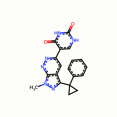 Cn1nc(C2(c3ccccc3)CC2)c2cc(-c3c[nH]c(=O)[nH]c3=O)nnc21